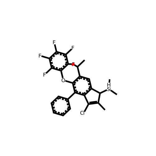 CC1=C(Cl)c2c(cc(C(C)C)c(Oc3c(F)c(F)c(F)c(F)c3F)c2-c2ccccc2)C1[SiH](C)C